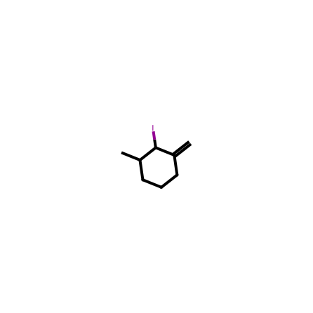 C=C1CCCC(C)C1I